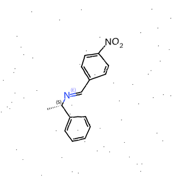 C[C@H](/N=C/c1ccc([N+](=O)[O-])cc1)c1ccccc1